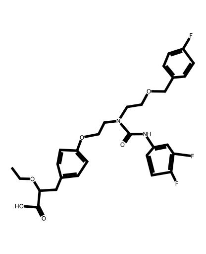 CCOC(Cc1ccc(OCCN(CCOCc2ccc(F)cc2)C(=O)Nc2ccc(F)c(F)c2)cc1)C(=O)O